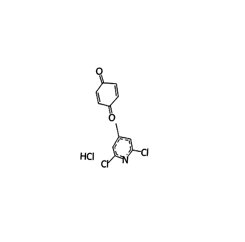 Cc1cc(Cl)nc(Cl)c1.Cl.O=C1C=CC(=O)C=C1